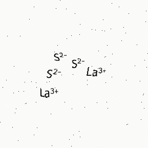 [La+3].[La+3].[S-2].[S-2].[S-2]